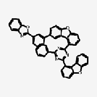 c1ccc(-c2nc(-c3cccc4oc5ccccc5c34)nc(-c3cccc4oc5ccc(-c6cccc(-c7nc8ccccc8o7)c6)cc5c34)n2)cc1